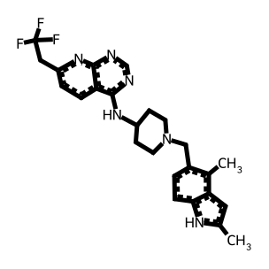 Cc1cc2c(C)c(CN3CCC(Nc4ncnc5nc(CC(F)(F)F)ccc45)CC3)ccc2[nH]1